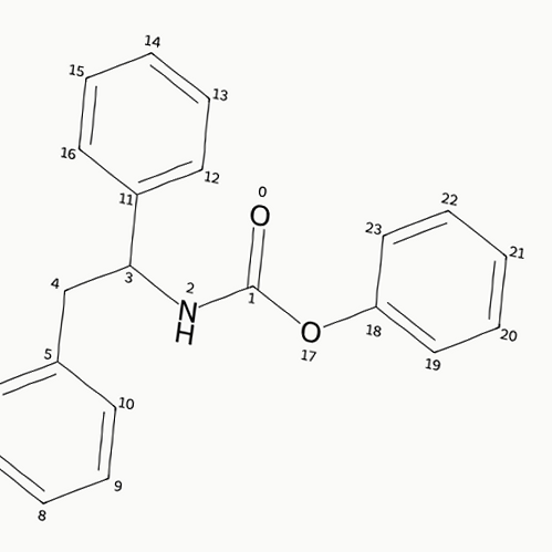 O=C(NC(Cc1ccccc1)c1ccccc1)Oc1ccccc1